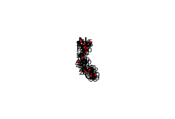 C1=NC2c3ccccc3-c3ccc(-c4cccc(-c5cccc6c(-c7cccc(-c8cccc9c8oc8ccccc89)c7)cccc56)c4)cc3C2N=C1